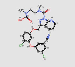 CN(CCN(C)C(=O)n1nc(COc2ccc(Cl)c(Oc3cc(Cl)cc(C#N)c3)c2)c2cccnc21)C(=O)O